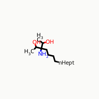 CCCCCCCCCCCC(N)(C(C)O)C(C)O